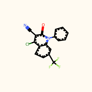 N#Cc1c(Cl)c2ccc(C(F)(F)F)cc2n(-c2ccccc2)c1=O